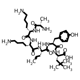 C=CC[C@H](NC(=O)[C@H](CCCCN)NC(=O)[C@H](CCCCN)NC(=O)[C@H](C)N)C(=O)N[C@@H](Cc1ccc(O)cc1)C(=O)N[C@@H](CC(C)(C)C)C(=O)O